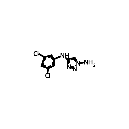 Nn1cc(Nc2cc(Cl)cc(Cl)c2)nn1